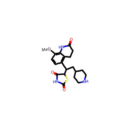 COc1ccc(C(CC2CCNCC2)C2SC(=O)NC2=O)c2c1NC(=O)CC2